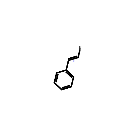 [K]/[CH]=C/c1ccccc1